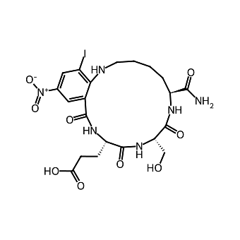 NC(=O)[C@@H]1CCCCNc2c(I)cc([N+](=O)[O-])cc2C(=O)N[C@@H](CCC(=O)O)C(=O)N[C@@H](CO)C(=O)N1